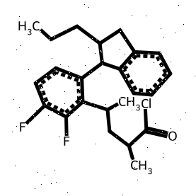 CCCC1Cc2ccccc2C1c1ccc(F)c(F)c1C(C)CC(C)C(=O)Cl